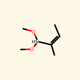 CC=C(C)[SiH](OC)OC